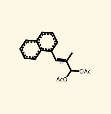 CC(=O)OC(OC(C)=O)/C(C)=C/c1cccc2ccccc12